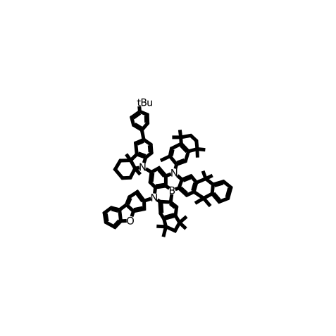 Cc1cc2c(cc1N1c3cc4c(cc3B3c5cc6c(cc5N(c5ccc7c(c5)oc5ccccc57)c5cc(N7c8ccc(-c9ccc(C(C)(C)C)cc9)cc8C8(C)CCCCC78C)cc1c53)C(C)(C)CC6(C)C)C(C)(C)c1ccccc1C4(C)C)C(C)(C)CCC2(C)C